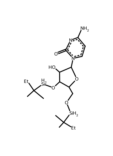 CCC(C)(C)[SiH2]OCC1OC(n2ccc(N)nc2=O)C(O)C1O[SiH2]C(C)(C)CC